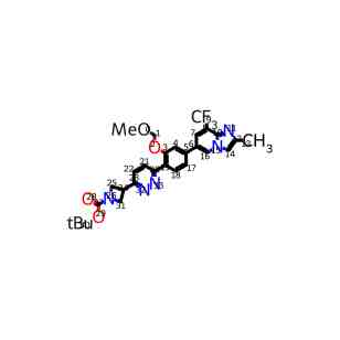 COCOc1cc(-c2cc(C(F)(F)F)c3nc(C)cn3c2)ccc1-c1ccc(C2CN(C(=O)OC(C)(C)C)C2)nn1